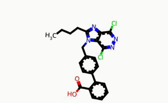 CCCCc1nc2c(Cl)nnc(Cl)c2n1Cc1ccc(-c2ccccc2C(=O)O)cc1